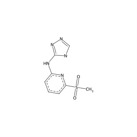 CS(=O)(=O)c1cccc(NC2=NN=C[N]2)n1